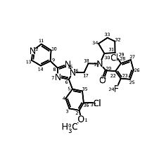 COc1ccc(-c2nc(-c3ccncc3)nn2CCN(C(=O)c2c(F)cccc2Cl)C2CCCC2)cc1Cl